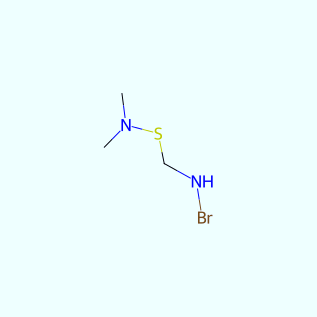 CN(C)SCNBr